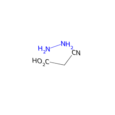 N#CCC(=O)O.NN